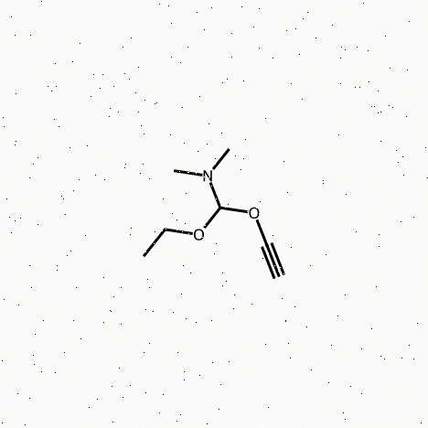 C#COC(OCC)N(C)C